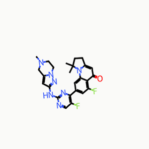 CN1CCn2nc(Nc3ncc(F)c(-c4cc(F)c5c(=O)cc6n(c5c4)C(C)(C)CC6)n3)cc2C1